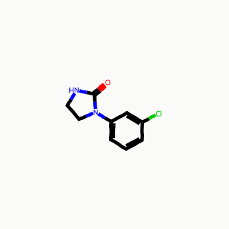 O=C1NCCN1c1cccc(Cl)c1